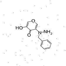 NN(Cc1ccccc1)c1cocc(O)c1=O